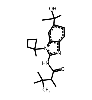 CC(C(=O)Nc1nc2ccc(C(C)(C)O)cc2n1C1(C)CCC1)C(C)(C)C(F)(F)F